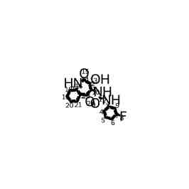 O=C(Nc1cccc(F)c1)Nc1c(O)c(=O)[nH]c2ccccc2c1=O